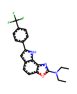 CCN(CC)c1nc2c(ccc3cc(-c4ccc(C(F)(F)F)cc4)[nH]c32)o1